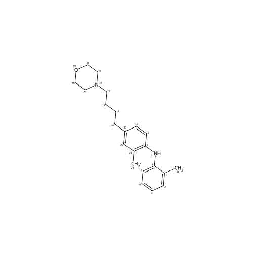 [CH2]c1ccccc1Nc1ccc(CCCCN2CCOCC2)cc1[CH2]